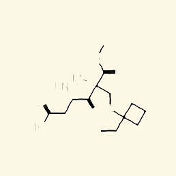 CCC1(SC[C@](N)(C(=O)OC)C(=O)[C@@H](N)CC(=O)O)CCC1